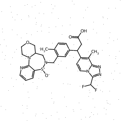 Cc1ccc(C(CC(=O)O)c2ccn3c(C(F)F)nnc3c2C)cc1CN1CC2COCCN2c2ncccc2[S+]1[O-]